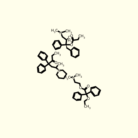 CCC(=O)C(CC(C)N1CCCCC1)(c1ccccc1)c1ccccc1.CCC(=O)O[C@](Cc1ccccc1)(c1ccccc1)[C@H](C)CN(C)C.CCOC(C(=O)OCCN(C)C)(c1ccccc1)c1ccccc1